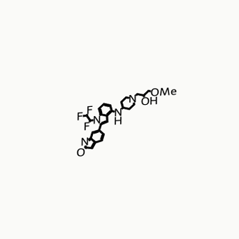 COCC(O)CN1CCC(Nc2cccc3c2cc(-c2ccc4c(c2)=NC(=O)C=4)n3C(F)C(F)F)CC1